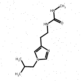 CNC(=O)NCCc1cn(CC(C)C)cn1